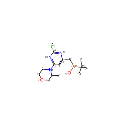 C[C@H]1COCCN1c1cc(C[S+]([O-])C(C)(C)C)nc(Cl)n1